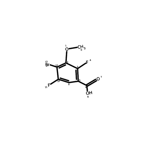 COc1c(F)c(C(=O)O)cc(F)c1Br